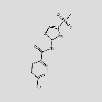 CS(=O)(=O)C1=CSC(NC(=O)c2ccc(O)cc2)N1